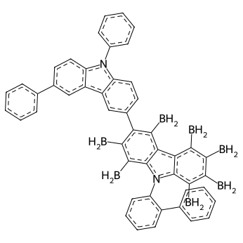 Bc1c(B)c(B)c2c(c1B)c1c(B)c(-c3ccc4c(c3)c3cc(-c5ccccc5)ccc3n4-c3ccccc3)c(B)c(B)c1n2-c1ccccc1-c1ccccc1